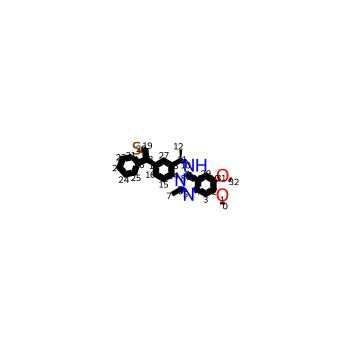 COc1cc2nc(C)nc(N[C@H](C)c3cccc(-c4csc5ccccc45)c3)c2cc1OC